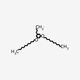 [CH2]CCCc1cc(OCCCCCCCCCCCC)cc(OCCCCCCCCCCCC)c1